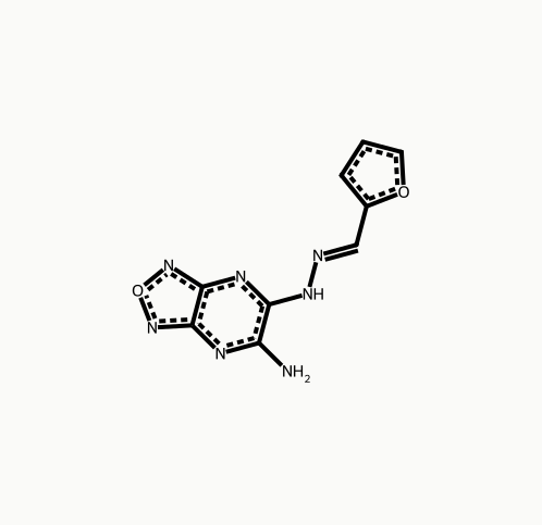 Nc1nc2nonc2nc1NN=Cc1ccco1